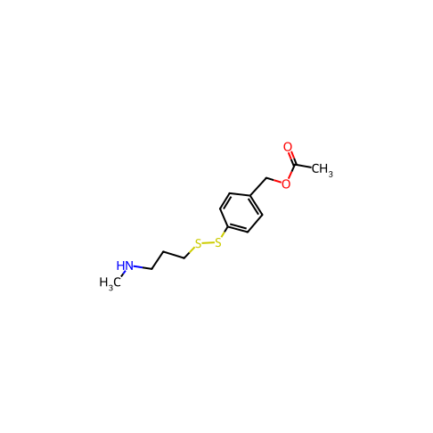 CNCCCSSc1ccc(COC(C)=O)cc1